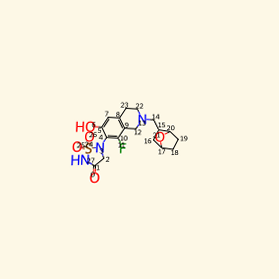 O=C1CN(c2c(O)cc3c(c2F)CN(CC2CC4CCC2O4)CC3)S(=O)(=O)N1